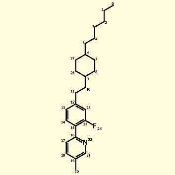 CCCCCCC1CCC(CCc2ccc(-c3ccc(C)cn3)c(F)c2)CC1